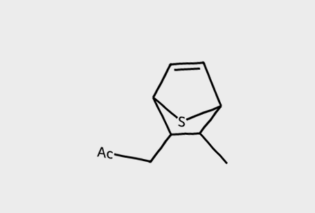 CC(=O)CC1C2C=CC(S2)C1C